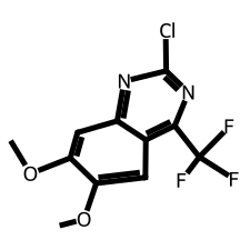 COc1cc2nc(Cl)nc(C(F)(F)F)c2cc1OC